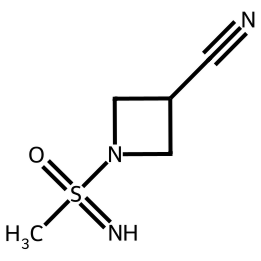 CS(=N)(=O)N1CC(C#N)C1